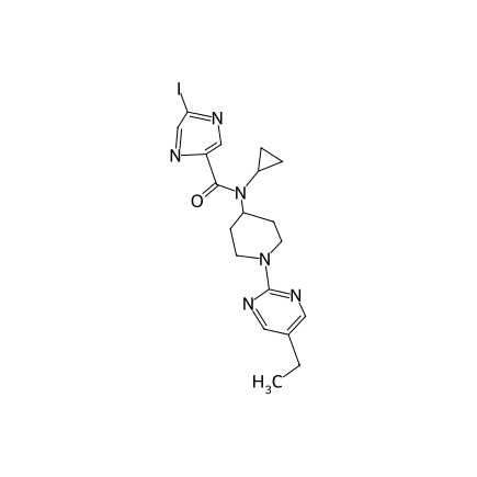 CCc1cnc(N2CCC(N(C(=O)c3cnc(I)cn3)C3CC3)CC2)nc1